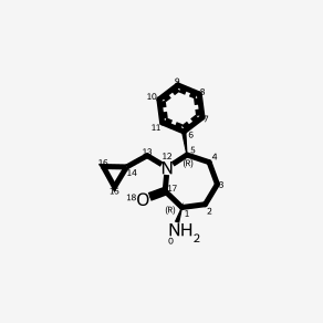 N[C@@H]1CCC[C@H](c2ccccc2)N(CC2CC2)C1=O